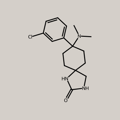 CN(C)C1(c2cccc(Cl)c2)CCC2(CC1)CNC(=O)N2